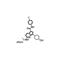 CCCCC[C@H](C)Nc1ncc2c(C(=O)Nc3ccc(F)cc3)cc(C3CCC(O)CC3)n2n1